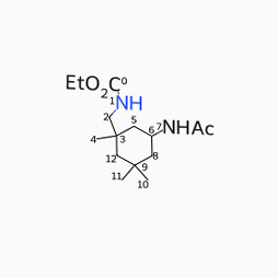 CCOC(=O)NCC1(C)CC(NC(C)=O)CC(C)(C)C1